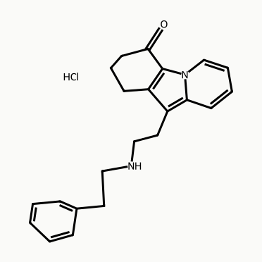 Cl.O=C1CCCc2c(CCNCCc3ccccc3)c3ccccn3c21